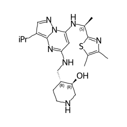 Cc1nc([C@H](C)Nc2cc(NC[C@H]3CCNC[C@@H]3O)nc3c(C(C)C)cnn23)sc1C